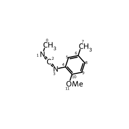 CN=C=Nc1cc(C)ccc1OC